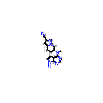 CN(c1ncnc2[nH]ccc12)[C@@H]1CCc2cc(C#N)nn2C1